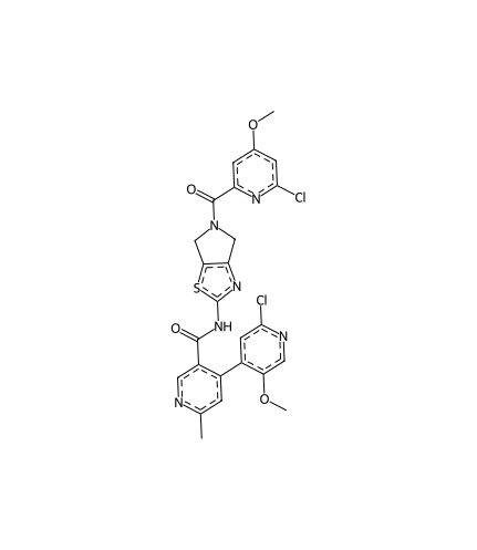 COc1cc(Cl)nc(C(=O)N2Cc3nc(NC(=O)c4cnc(C)cc4-c4cc(Cl)ncc4OC)sc3C2)c1